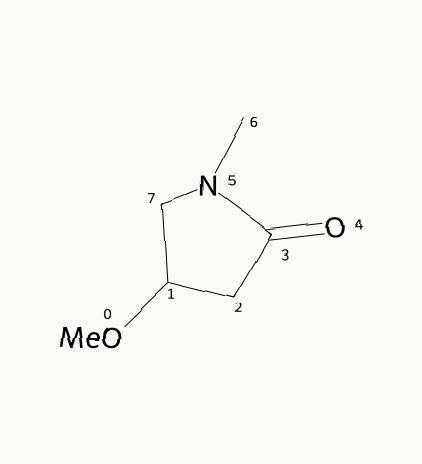 COC1CC(=O)N(C)C1